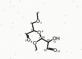 COCC(C=O)O[C@H](OC)C(O)C=O